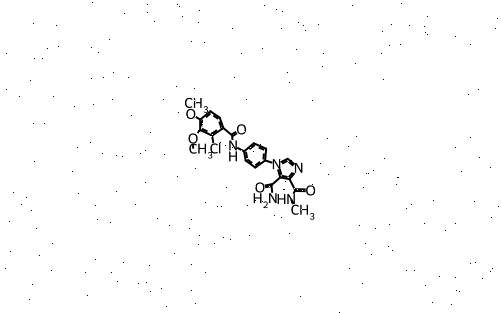 CNC(=O)c1ncn(-c2ccc(NC(=O)c3ccc(OC)c(OC)c3Cl)cc2)c1C(N)=O